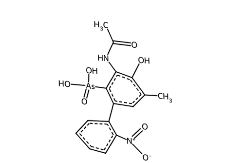 CC(=O)Nc1c(O)c(C)cc(-c2ccccc2[N+](=O)[O-])c1[As](=O)(O)O